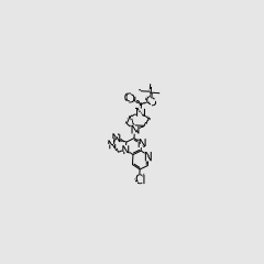 CC(C)(C)OC(=O)N1CC2CC1CN2c1nc2ncc(Cl)cc2n2cnnc12